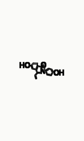 C=Cc1cn(-c2ccc(O)cc2)c(=O)c2ccc(O)cc12